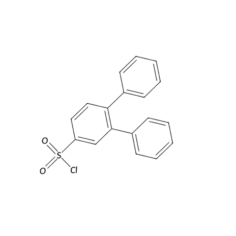 O=S(=O)(Cl)c1ccc(-c2ccccc2)c(-c2ccccc2)c1